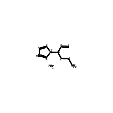 Br.C=CC(CCN)n1ccnc1